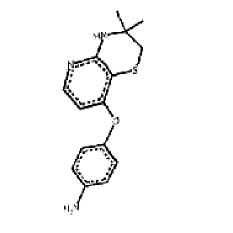 CC1(C)CSc2c(Oc3ccc(N)cc3)ccnc2N1